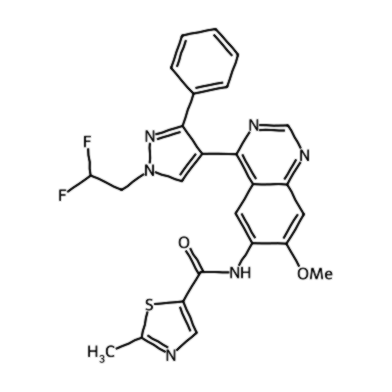 COc1cc2ncnc(-c3cn(CC(F)F)nc3-c3ccccc3)c2cc1NC(=O)c1cnc(C)s1